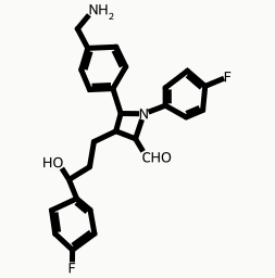 NCc1ccc(C2C(CCC(O)c3ccc(F)cc3)C(C=O)N2c2ccc(F)cc2)cc1